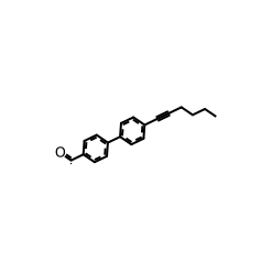 CCCCC#Cc1ccc(-c2ccc([C]=O)cc2)cc1